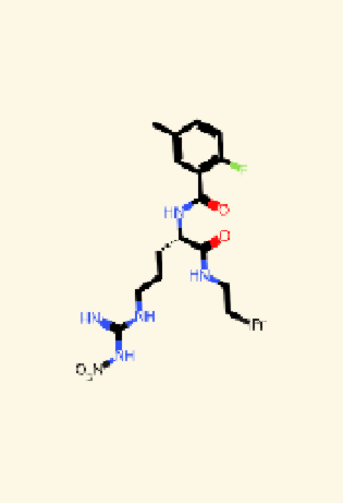 Cc1ccc(F)c(C(=O)N[C@@H](CCCNC(=N)N[N+](=O)[O-])C(=O)NCCC(C)C)c1